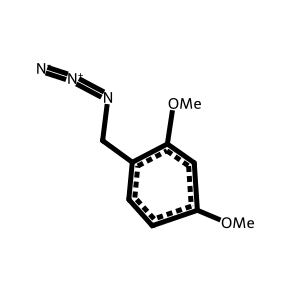 COc1ccc(CN=[N+]=[N-])c(OC)c1